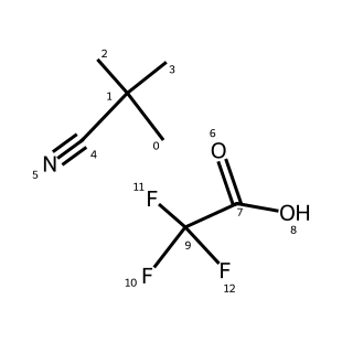 CC(C)(C)C#N.O=C(O)C(F)(F)F